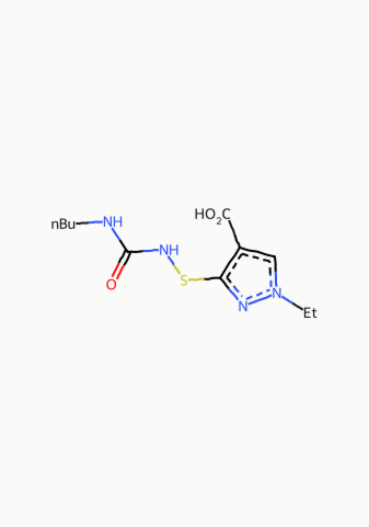 CCCCNC(=O)NSc1nn(CC)cc1C(=O)O